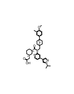 COc1ccc(C23CCC(CN(C(=O)[C@@H]4CCC[C@H](CC(=O)O)C4)c4cc(-c5cnn(C(C)C)c5)ccn4)(CC2)CC3)cc1C